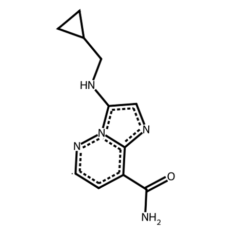 NC(=O)c1c[c]nn2c(NCC3CC3)cnc12